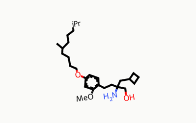 COc1cc(OCCCCC(C)CCCC(C)C)ccc1CCC(N)(CO)CC1CCC1